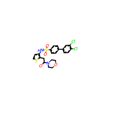 O=C(Cc1sccc1NS(=O)(=O)c1ccc(-c2ccc(Cl)c(Cl)c2)cc1)N1CCOCC1